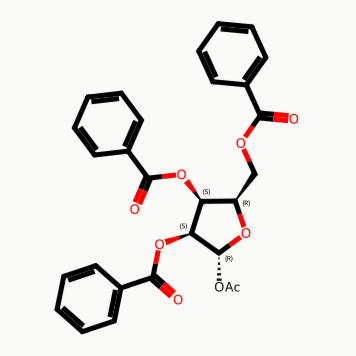 CC(=O)O[C@H]1O[C@H](COC(=O)c2ccccc2)[C@H](OC(=O)c2ccccc2)[C@@H]1OC(=O)c1ccccc1